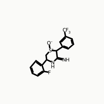 N=C1NC(c2ccccc2F)C[S+]([O-])C1c1cccc(C(F)(F)F)c1